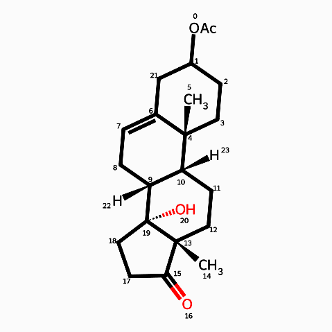 CC(=O)OC1CC[C@@]2(C)C(=CC[C@@H]3[C@H]2CC[C@]2(C)C(=O)CC[C@@]32O)C1